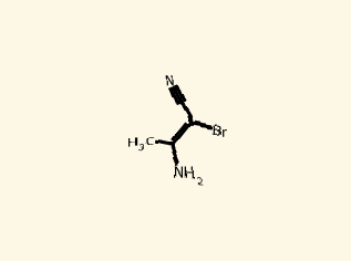 C/C(N)=C(/Br)C#N